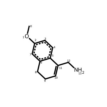 COc1ccc2c(c1)CCC=C2CN